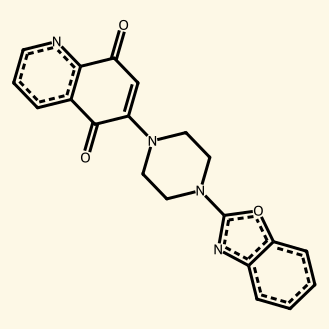 O=C1C(N2CCN(c3nc4ccccc4o3)CC2)=CC(=O)c2ncccc21